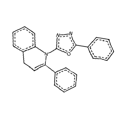 C1=C(c2ccccc2)N(c2nnc(-c3ccccc3)o2)c2ccccc2C1